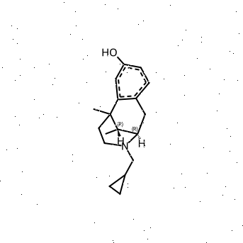 C[C@H]1[C@H]2Cc3ccc(O)cc3C1(C)CCN2CC1CC1